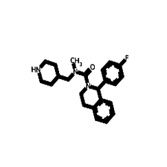 CN(CC1CCNCC1)C(=O)N1CCc2ccccc2C1c1ccc(F)cc1